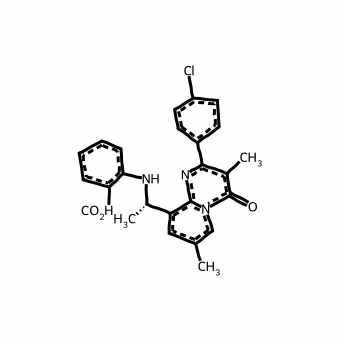 Cc1cc([C@H](C)Nc2ccccc2C(=O)O)c2nc(-c3ccc(Cl)cc3)c(C)c(=O)n2c1